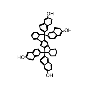 Oc1ccc2cc(C3(c4ccc5cc(O)ccc5c4)c4ccccc4-c4cc5c(cc43)C3CCCCC3C5(c3ccc4cc(O)ccc4c3)c3ccc4cc(O)ccc4c3)ccc2c1